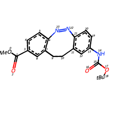 COC(=O)c1ccc2c(c1)CCc1cc(NC(=O)OC(C)(C)C)ccc1/N=N\2